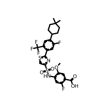 COc1cc(C(=O)O)c(F)cc1NS(=O)(=O)c1csc(-c2cc(F)c(C3CCC(C)(C)CC3)cc2C(F)(F)F)n1